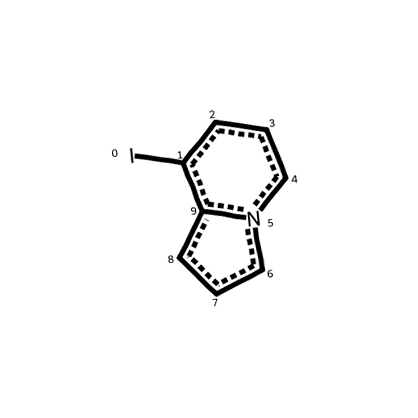 Ic1cccn2cccc12